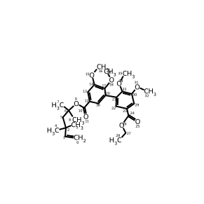 C=CC(C)(C)CC(C)(C)OC(=O)c1cc(OC)c(OC)c(-c2cc(C(=O)OCC)cc(OC)c2OC)c1